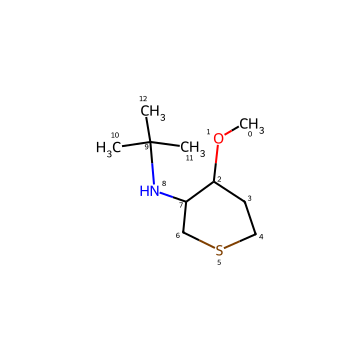 COC1CCSCC1NC(C)(C)C